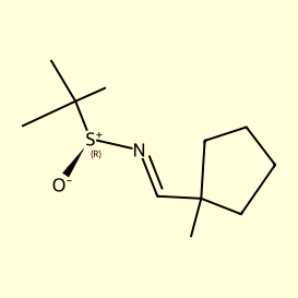 CC1(C=N[S@@+]([O-])C(C)(C)C)CCCC1